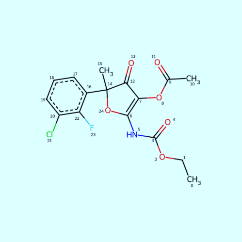 CCOC(=O)NC1=C(OC(C)=O)C(=O)C(C)(c2cccc(Cl)c2F)O1